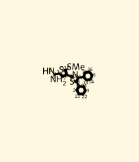 CSc1sc(C(=N)N)cc1-c1nc(-c2ccccc2)c(-c2ccccc2)s1